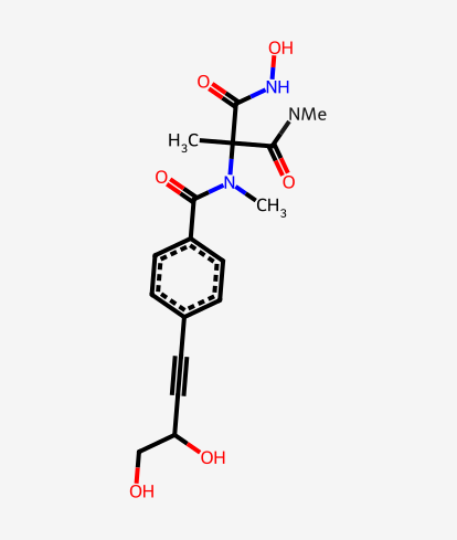 CNC(=O)C(C)(C(=O)NO)N(C)C(=O)c1ccc(C#CC(O)CO)cc1